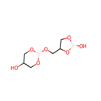 OB1OCC(COB2OCC(O)CO2)O1